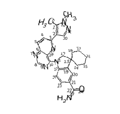 Cc1c(-c2ccc3ncnc(N4CC5(CCCCC5)c5cc(C(N)=O)ccc54)c3n2)cnn1C